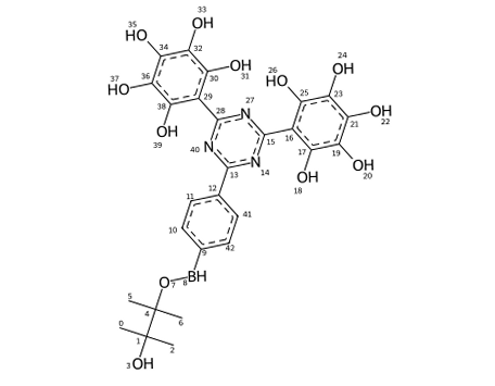 CC(C)(O)C(C)(C)OBc1ccc(-c2nc(-c3c(O)c(O)c(O)c(O)c3O)nc(-c3c(O)c(O)c(O)c(O)c3O)n2)cc1